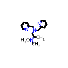 CC(CN(Cc1ccccn1)Cc1ccccn1)N(C)C